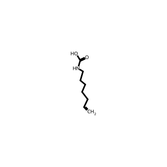 C=CCCCCCNC(=O)O